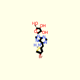 NC1(Cc2cc(Br)cs2)N=CN=C2C1=NCN2[C@@H]1O[C@H](CO)[C@@H](O)[C@H]1O